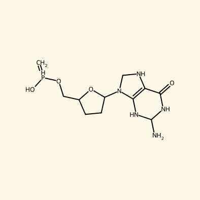 C=[PH](O)OCC1CCC(N2CNC3=C2NC(N)NC3=O)O1